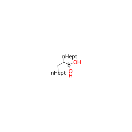 CCCCCCCCC(CCCCCCC)B(O)O